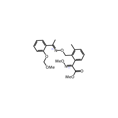 COCOc1ccccc1/C(C)=N/OCc1c(C)cccc1/C(=N\OC)C(=O)OC